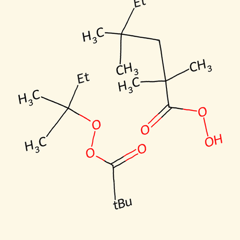 CCC(C)(C)CC(C)(C)C(=O)OO.CCC(C)(C)OOC(=O)C(C)(C)C